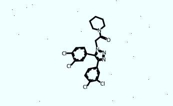 O=C(Cn1nnc(-c2ccc(Cl)c(Cl)c2)c1-c1ccc(Cl)c(Cl)c1)N1CCCCC1